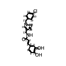 O=C(/C=C/c1ccc(O)c(O)c1)NCc1cn(Cc2ccc(Cl)cc2)nn1